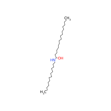 CCCCCCCCCCCCCCCCCC(O)NCCCCCCCCCCCCCC